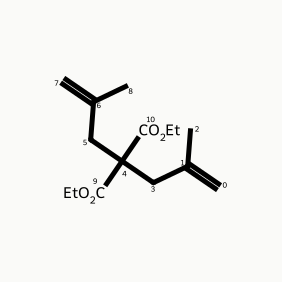 C=C(C)CC(CC(=C)C)(C(=O)OCC)C(=O)OCC